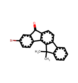 CC1(C)c2ccccc2-c2ccc3c(c21)-c1ccc(Br)cc1C3=O